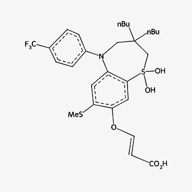 CCCCC1(CCCC)CN(c2ccc(C(F)(F)F)cc2)c2cc(SC)c(OC=CC(=O)O)cc2S(O)(O)C1